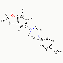 CCC1(C)Cc2c(C)c(N3CCN(c4ccc(OC)cc4)CC3)c(C)c(C)c2O1